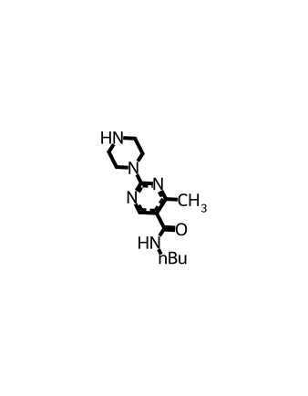 CCCCNC(=O)c1cnc(N2CCNCC2)nc1C